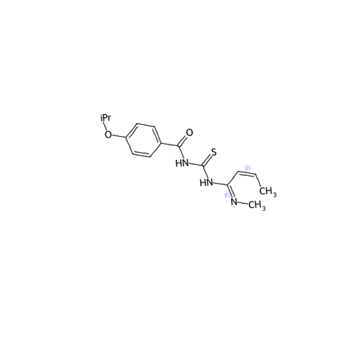 C/C=C\C(=N/C)NC(=S)NC(=O)c1ccc(OC(C)C)cc1